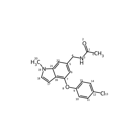 CC(=O)NCc1cc(Oc2ccc(Cl)cc2)c2ccn(C)c2c1